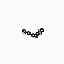 CC1(C)c2ccc(-c3ccc(-c4ccccn4)cc3)cc2-c2cc3c(cc21)Sc1ccccc1S3